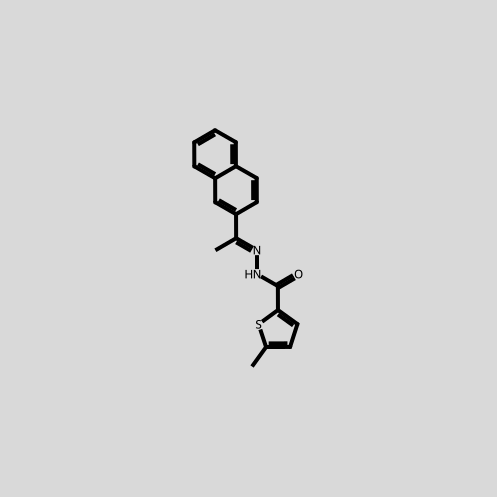 C/C(=N\NC(=O)c1ccc(C)s1)c1ccc2ccccc2c1